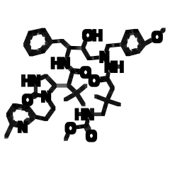 COC(=O)NCC(C)(C)CC(=O)NN(Cc1ccc(OC)cc1)CC(O)C(Cc1ccccc1)NC(=O)C(C1CNC(=O)N1CCc1cccc(C)n1)C(C)(C)C